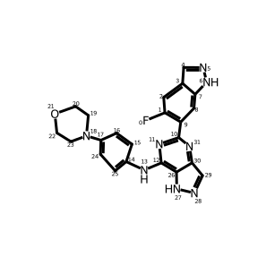 Fc1cc2cn[nH]c2cc1-c1nc(Nc2ccc(N3CCOCC3)cc2)c2[nH]ncc2n1